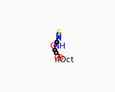 CCCCCCCCOC(=O)CC1CCc2ccc(C(=O)Nc3ccc(C=NN4CCSCC4)cc3)cc2C1